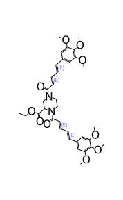 CCOC(=O)C1CN(C(=O)/C=C/C=C/c2cc(OC)c(OC)c(OC)c2)CCN1C(=O)/C=C/C=C/c1cc(OC)c(OC)c(OC)c1